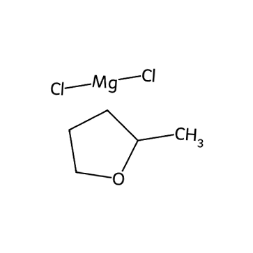 CC1CCCO1.[Cl][Mg][Cl]